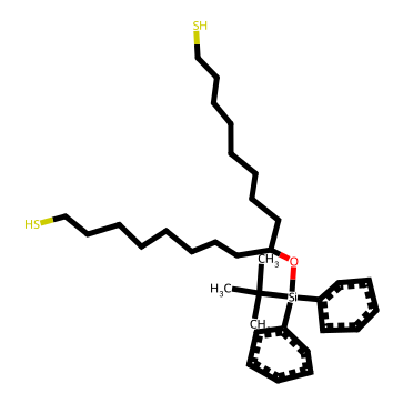 CC(C)(C)[Si](OC(CCCCCCCCS)CCCCCCCCS)(c1ccccc1)c1ccccc1